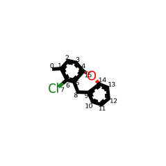 Cc1ccc2c(c1Cl)Cc1ccccc1O2